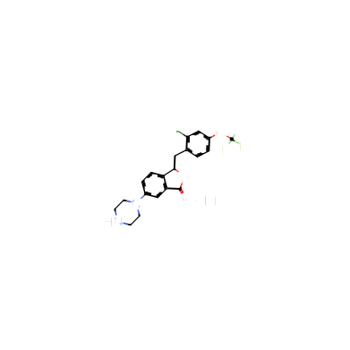 Cl.O=C1OC(Cc2ccc(OC(F)(F)F)cc2Cl)c2ccc(N3CCNCC3)cc21